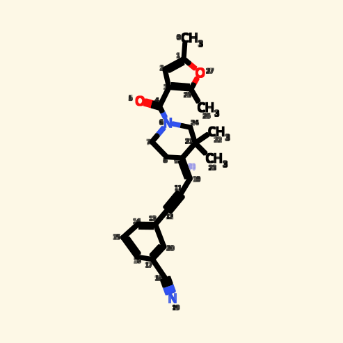 Cc1cc(C(=O)N2CC/C(=C\C#Cc3cccc(C#N)c3)C(C)(C)C2)c(C)o1